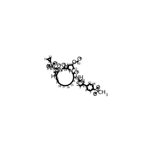 CS(=O)(=O)c1ccc(-c2csc(N[C@H]3CCCCC/C=C\[C@@H]4C[C@@]4(C(=O)NS(=O)(=O)C4CC4)NC(=O)[C@@H]4C[C@@H](OC=O)CN4C3=O)n2)cc1